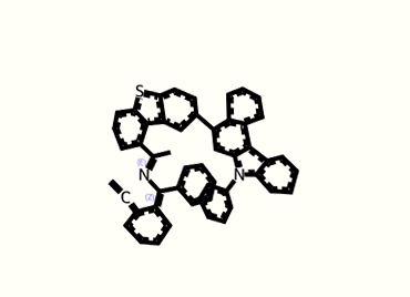 C=C=c1cccc/c1=C(/N=C(\C)c1cccc2sc3ccc(-c4cc5c(c6ccccc46)c4ccccc4n5-c4ccccc4)cc3c12)c1ccccc1